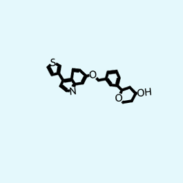 OC1CCOC(c2cccc(COc3ccc4c(-c5ccsc5)ccnc4c3)c2)C1